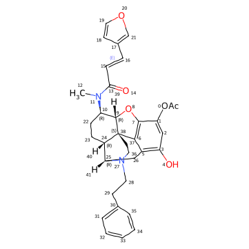 CC(=O)Oc1cc(O)c2c3c1O[C@H]1[C@H](N(C)C(=O)/C=C/c4ccoc4)CC[C@H]4[C@@H](C2)N(CCc2ccccc2)CC[C@@]341